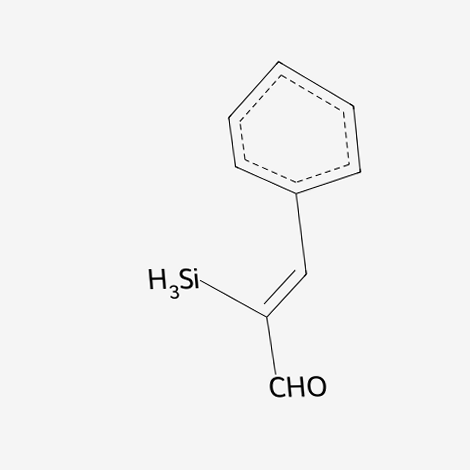 O=CC([SiH3])=Cc1ccccc1